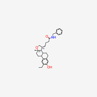 CCc1cc2c(cc1O)CCC1C2CC[C@]2(C)OC[C@@H](CCCC(=O)NCc3ccccc3)C12